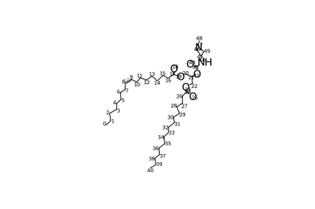 CCCCCCCC/C=C\CCCCCCCC(=O)OCC(COC(=O)CCCCCCCCCCCCCCC)OC(=O)NC1CN(C)C1